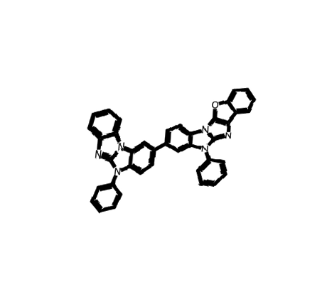 c1ccc(-n2c3ccc(-c4ccc5c(c4)n(-c4ccccc4)c4nc6c7ccccc7oc6n54)cc3n3c4ccccc4nc23)cc1